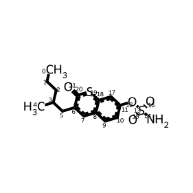 CCCC(C)Cc1cc2ccc(OS(N)(=O)=O)cc2sc1=O